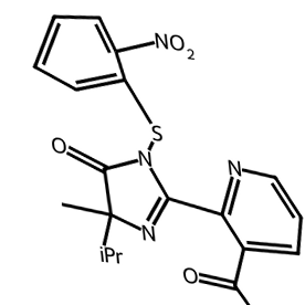 COC(=O)c1cccnc1C1=NC(C)(C(C)C)C(=O)N1Sc1ccccc1[N+](=O)[O-]